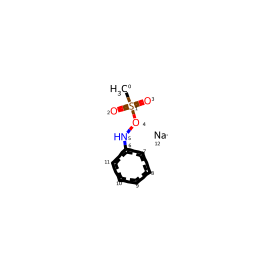 CS(=O)(=O)ONc1ccccc1.[Na]